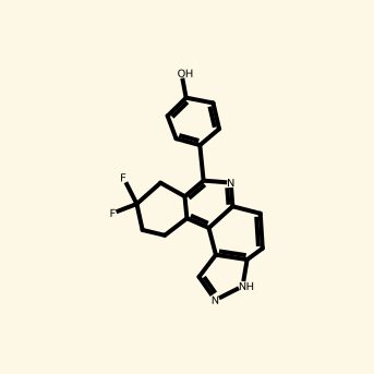 Oc1ccc(-c2nc3ccc4[nH]ncc4c3c3c2CC(F)(F)CC3)cc1